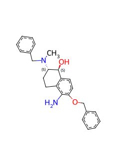 CN(Cc1ccccc1)[C@H]1CCc2c(ccc(OCc3ccccc3)c2N)[C@@H]1O